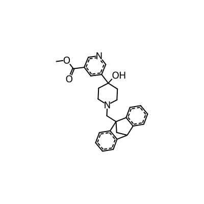 COC(=O)c1cncc(C2(O)CCN(CC34CC(c5ccccc53)c3ccccc34)CC2)c1